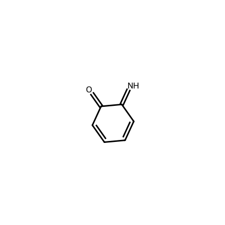 N=C1C=CC=CC1=O